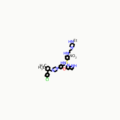 CCNC1CCN(CCCNc2ccc(SNCc3ccc(N4CCN(CC5=C(c6ccc(Cl)cc6)CC(C)(C)CC5)CC4)cc3Oc3cnc4[nH]ccc4c3)cc2[N+](=O)[O-])CC1